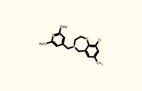 COc1cc(CN2CCOc3c(Cl)cc(C)cc3C2)cc(OC)n1